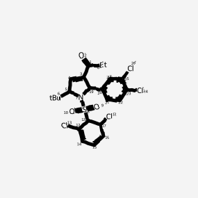 CCC(=O)C1=CC(C(C)(C)C)N(S(=O)(=O)C2C(Cl)=CC=CC2Cl)C1c1ccc(Cl)c(Cl)c1